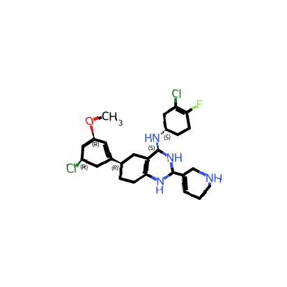 CO[C@H]1C=C([C@@H]2CCC3=C(C2)[C@@H](N[C@H]2CCC(F)=C(Cl)C2)NC(C2=CCCNC2)N3)C[C@@H](Cl)C1